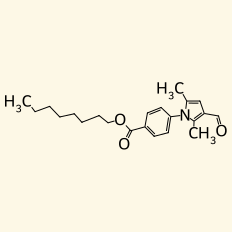 CCCCCCCCOC(=O)c1ccc(-n2c(C)cc(C=O)c2C)cc1